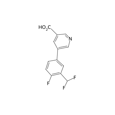 O=C(O)c1cncc(-c2ccc(F)c(C(F)F)c2)c1